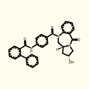 O=C(Nc1ccc(C(=O)N2C[C@H]3C[C@@H](O)CN3C(=O)c3ccccc32)cc1)c1ccccc1-c1ccccc1